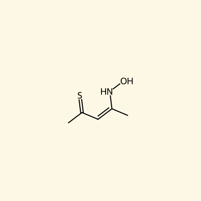 CC(=S)C=C(C)NO